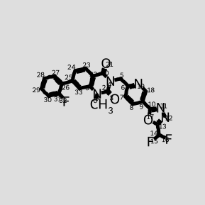 Cn1c(=O)n(Cc2ccc(-c3nnc(C(F)F)o3)cn2)c(=O)c2ccc(-c3ccccc3F)cc21